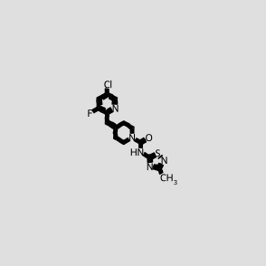 Cc1nsc(NC(=O)N2CCC(=Cc3ncc(Cl)cc3F)CC2)n1